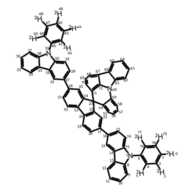 [2H]c1c([2H])c([2H])c(-n2c3ccccc3c3cc(-c4ccc5c(c4)C4(c6cc(-c7ccc8c(c7)c7ccccc7n8-c7c([2H])c([2H])c([2H])c([2H])c7[2H])ccc6-5)c5ccccc5-n5c6ccccc6c6cccc4c65)ccc32)c([2H])c1[2H]